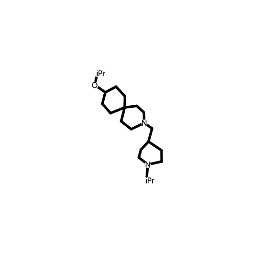 CC(C)OC1CCC2(CC1)CCN(CC1CCN(C(C)C)CC1)CC2